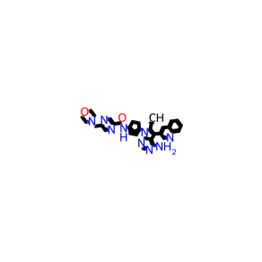 C#Cc1c(-c2cnc3ccccc3c2)c2c(N)ncnc2n1C12CCC(NC(=O)c3cnc(CN4CCOCC4)cn3)(CC1)C2